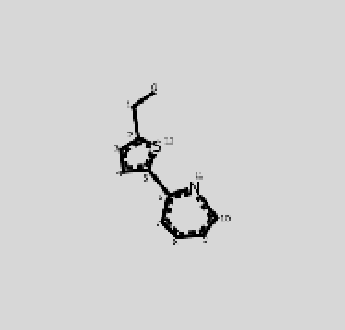 CCc1ccc(-c2ccccn2)s1